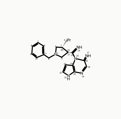 CC(C)[C@H]1CN(Cc2ccccc2)C[C@H]1C(=N)n1c(=N)cnc2[nH]ccc21